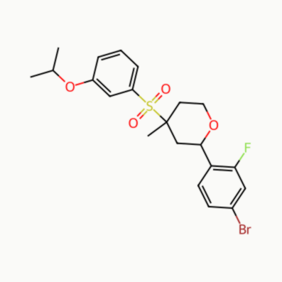 CC(C)Oc1cccc(S(=O)(=O)C2(C)CCOC(c3ccc(Br)cc3F)C2)c1